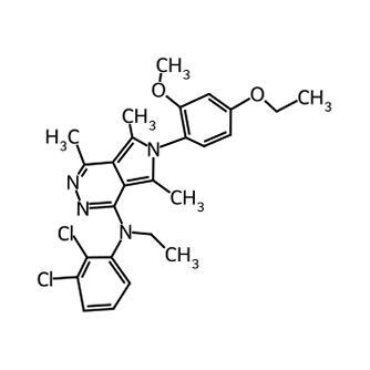 CCOc1ccc(-n2c(C)c3c(C)nnc(N(CC)c4cccc(Cl)c4Cl)c3c2C)c(OC)c1